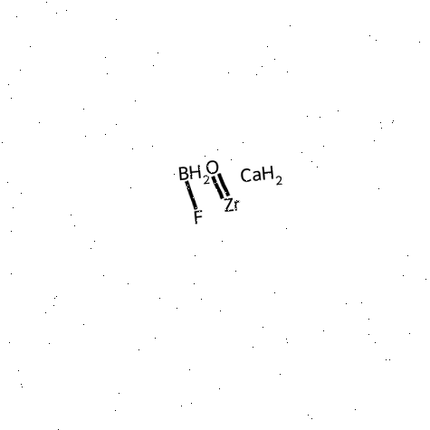 BF.[CaH2].[O]=[Zr]